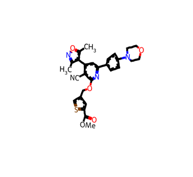 COC(=O)c1cc(COc2nc(-c3ccc(N4CCOCC4)cc3)cc(-c3c(C)noc3C)c2C#N)cs1